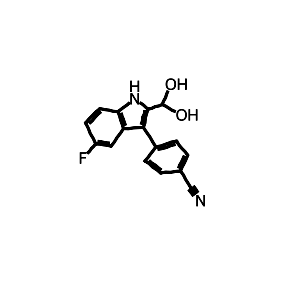 N#Cc1ccc(-c2c(C(O)O)[nH]c3ccc(F)cc23)cc1